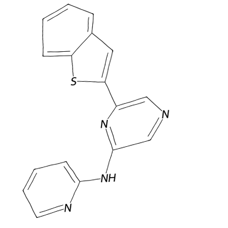 c1ccc(Nc2cncc(-c3cc4ccccc4s3)n2)nc1